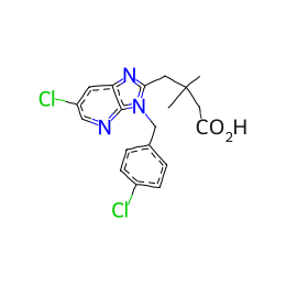 CC(C)(CC(=O)O)Cc1nc2cc(Cl)cnc2n1Cc1ccc(Cl)cc1